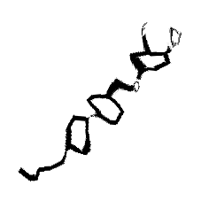 C=CCC[C@H]1CC[C@H](C2CCC(COc3ccc(Cl)c(F)c3)CC2)CC1